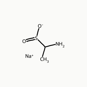 CC(N)S(=O)[O-].[Na+]